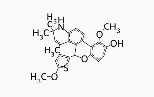 COc1ccc(C2Oc3ccc(O)c(OC)c3-c3ccc4c(c32)C(C)=CC(C)(C)N4)s1